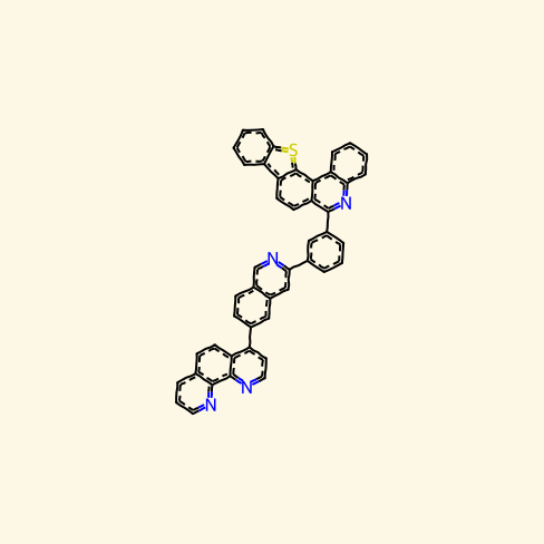 c1cc(-c2cc3cc(-c4ccnc5c4ccc4cccnc45)ccc3cn2)cc(-c2nc3ccccc3c3c2ccc2c4ccccc4sc23)c1